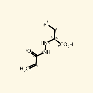 C=CC(=O)NN[C@@H](CC(C)C)C(=O)O